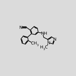 Cc1ccccc1-c1cc(NCc2cncn2C)ccc1C#N